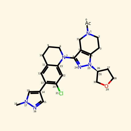 CC(=O)N1CCc2c(c(N3CCCc4cc(-c5cnn(C)c5)c(Cl)cc43)nn2[C@H]2CCOC2)C1